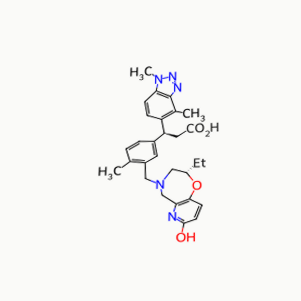 CC[C@H]1CN(Cc2cc([C@H](CC(=O)O)c3ccc4c(nnn4C)c3C)ccc2C)Cc2nc(O)ccc2O1